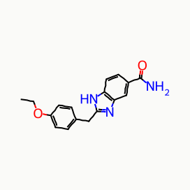 CCOc1ccc(Cc2nc3cc(C(N)=O)ccc3[nH]2)cc1